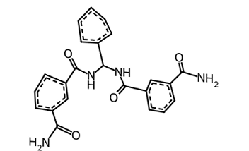 NC(=O)c1cccc(C(=O)NC(NC(=O)c2cccc(C(N)=O)c2)c2ccccc2)c1